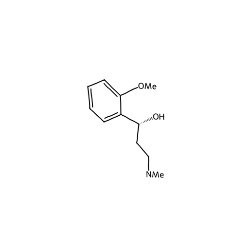 CNCC[C@@H](O)c1ccccc1OC